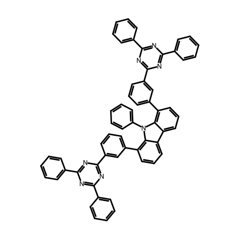 c1ccc(-c2nc(-c3ccccc3)nc(-c3cccc(-c4cccc5c6cccc(-c7cccc(-c8nc(-c9ccccc9)nc(-c9ccccc9)n8)c7)c6n(-c6ccccc6)c45)c3)n2)cc1